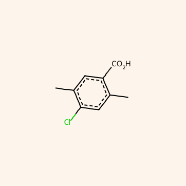 Cc1cc(C(=O)O)c(C)cc1Cl